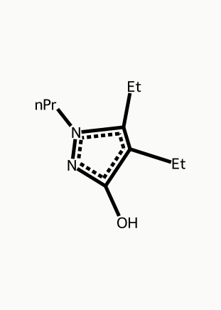 CCCn1nc(O)c(CC)c1CC